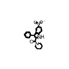 O=C(c1[nH]c2ccc([N+](=O)[O-])cc2c1-c1ccccc1)N1CCCCC1